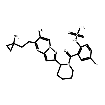 Cc1cn2nc(C3CCCCN3C(=O)c3cc(Cl)ccc3NS(C)(=O)=O)cc2nc1CCC1(N)CC1